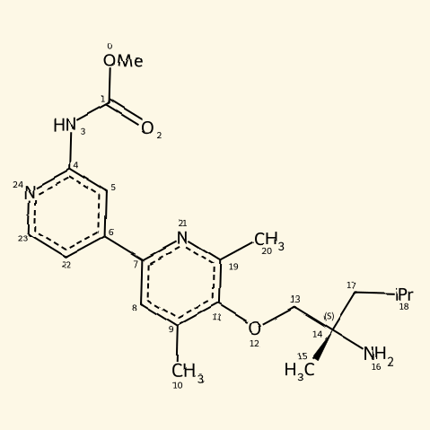 COC(=O)Nc1cc(-c2cc(C)c(OC[C@@](C)(N)CC(C)C)c(C)n2)ccn1